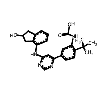 CC(C)(C)c1ccc(-c2cc(Nc3cccc4c3CC(O)C4)ncn2)cc1NC(=O)O